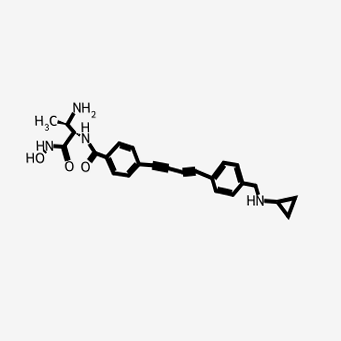 C[C@@H](N)[C@H](NC(=O)c1ccc(C#CC#Cc2ccc(CNC3CC3)cc2)cc1)C(=O)NO